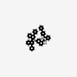 C1=CCC(c2cc3c(c4c(n3C3=CC5=CC=CC(C6Nc7ccccc7C(c7ccc(-c8ccccc8)cc7)N6)C5C=C3)=CC(c3ccccc3)C3C=CC=CC=43)c3ccccc23)C=C1